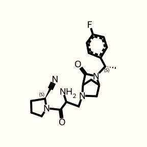 C[C@@H](c1ccc(F)cc1)N1C(=O)C2CC1CN2CC(N)C(=O)N1CCC[C@H]1C#N